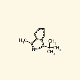 Cc1ncc(C(C)(C)C)c2ccccc12